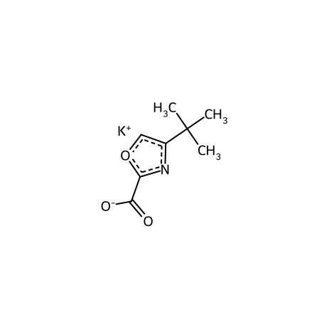 CC(C)(C)c1coc(C(=O)[O-])n1.[K+]